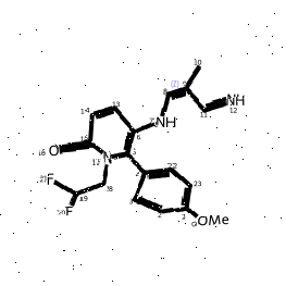 COc1ccc(-c2c(N/C=C(/C)C=N)ccc(=O)n2CC(F)F)cc1